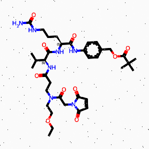 CCOCCN(CCC(=O)N[C@H](C(=O)N[C@@H](CCCNC(N)=O)C(=O)Nc1ccc(COC(=O)C(C)(C)C)cc1)C(C)C)C(=O)CN1C(=O)C=CC1=O